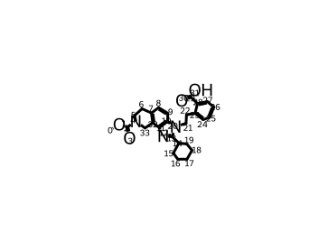 COC(=O)N1CCc2ccc3c(nc(C4CCCCC4)n3CCc3ccccc3C(=O)O)c2C1